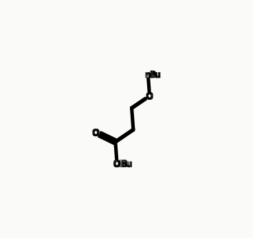 CCCCOCCC(=O)OCC(C)C